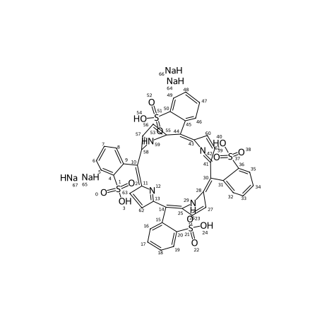 O=S(=O)(O)c1ccccc1-c1c2nc(c(-c3ccccc3S(=O)(=O)O)c3ccc([nH]3)c(-c3ccccc3S(=O)(=O)O)c3nc(c(-c4ccccc4S(=O)(=O)O)c4ccc1[nH]4)C=C3)C=C2.[NaH].[NaH].[NaH].[NaH]